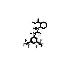 CCC(C)C1CCCCC1NC(=S)Nc1cc(C(F)(F)F)cc(C(F)(F)F)c1